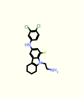 NCCn1c2c(c3cc(Nc4ccc(Cl)c(Cl)c4)cc(F)c31)CCCC2